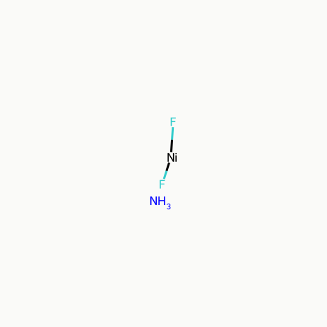 N.[F][Ni][F]